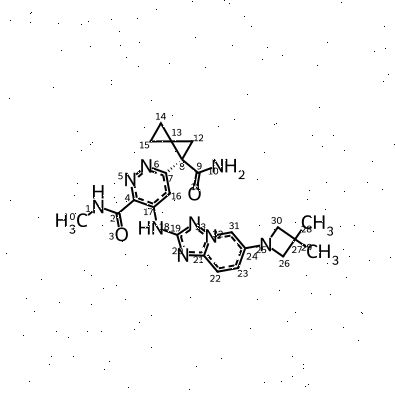 CNC(=O)c1nnc([C@@]2(C(N)=O)CC23CC3)cc1Nc1nc2ccc(N3CC(C)(C)C3)cn2n1